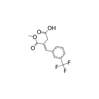 COC(=O)/C(=C/c1cccc(C(F)(F)F)c1)CC(=O)O